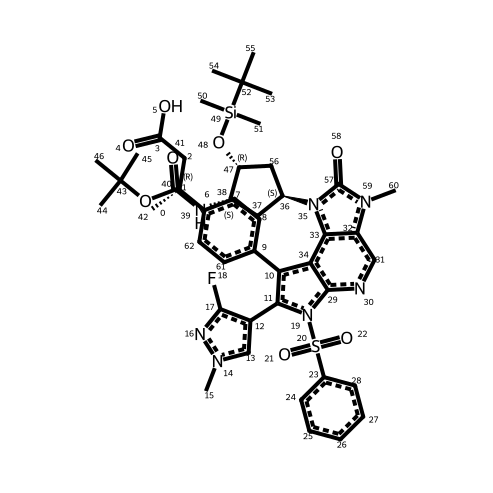 C[C@H](CC(=O)O)c1ccc(-c2c(-c3cn(C)nc3F)n(S(=O)(=O)c3ccccc3)c3ncc4c(c23)n([C@H]2C[C@H](NC(=O)OC(C)(C)C)[C@H](O[Si](C)(C)C(C)(C)C)C2)c(=O)n4C)cc1